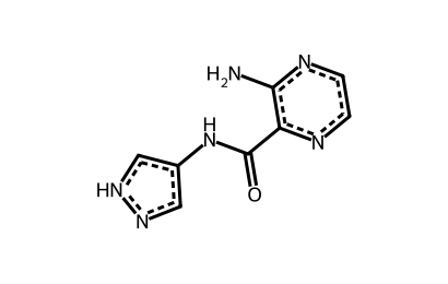 Nc1nccnc1C(=O)Nc1cn[nH]c1